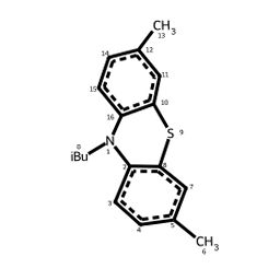 CCC(C)N1c2ccc(C)cc2Sc2cc(C)ccc21